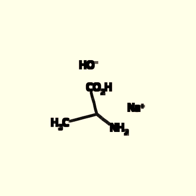 CC(N)C(=O)O.[Na+].[OH-]